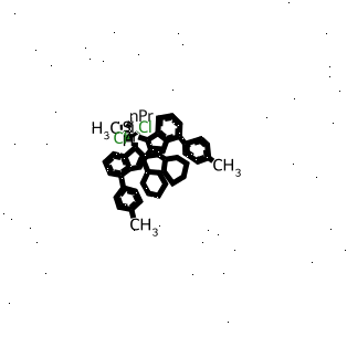 CCC[SiH](C)[Zr]([Cl])([Cl])([CH]1C(CC2CCCCC2)=Cc2c(-c3ccc(C)cc3)cccc21)[CH]1C(CC2CCCCC2)=Cc2c(-c3ccc(C)cc3)cccc21